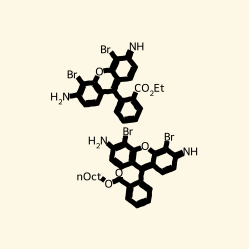 CCCCCCCCOC(=O)c1ccccc1-c1c2ccc(=N)c(Br)c-2oc2c(Br)c(N)ccc12.CCOC(=O)c1ccccc1-c1c2ccc(=N)c(Br)c-2oc2c(Br)c(N)ccc12